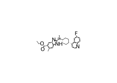 CCOC(=O)c1cc2nc([C@@H](C)[C@H]3CC[C@@H](c4ccnc5ccc(F)cc54)CC3)[nH]c2cc1C